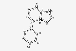 c1cc(-c2ccnc3nccn23)ccn1